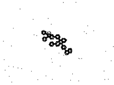 c1ccc(-c2ccc3c(-c4ccc(-c5cccc6ccccc56)cc4)c4ccccc4c(-c4cccc(-c5ccc6c(-c7ccccc7)c(-c7ccccc7)oc6c5)c4)c3c2)cc1